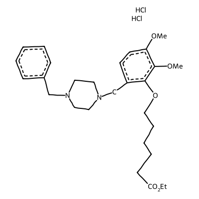 CCOC(=O)CCCCCOc1c(CN2CCN(Cc3ccccc3)CC2)ccc(OC)c1OC.Cl.Cl